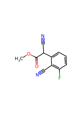 COC(=O)C(C#N)c1cccc(F)c1C#N